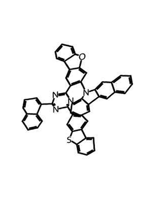 c1ccc2cc3c(cc2c1)c1ccccc1n3-c1cc2oc3ccccc3c2cc1-c1nc(-c2ccc3c(c2)sc2ccccc23)nc(-c2cccc3ccccc23)n1